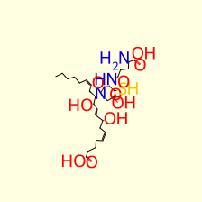 CCCCC/C=C\C[C@H]([C@@H](O)/C=C/C(O)C/C=C\CCCC(=O)O)N(CC(=O)O)C(=O)[C@H](CS)NC(=O)CC[C@H](N)C(=O)O